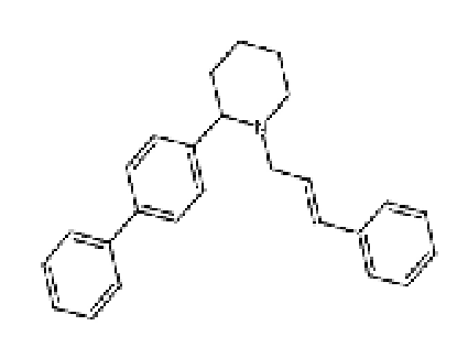 C(=Cc1ccccc1)CN1CCCCC1c1ccc(-c2ccccc2)cc1